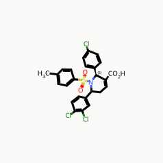 Cc1ccc(S(=O)(=O)N2C(c3ccc(Cl)c(Cl)c3)CC=C(C(=O)O)[C@@H]2c2ccc(Cl)cc2)cc1